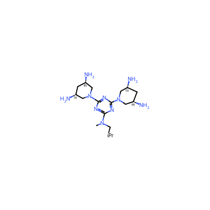 CC(C)CN(C)c1nc(N2C[C@H](N)C[C@H](N)C2)nc(N2C[C@H](N)C[C@H](N)C2)n1